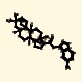 COC[C@]12CC[C@@](C)(O)C[C@@H]1CC[C@H]1[C@@H]3CC[C@H](C(=O)Cn4nnc5ccc(C)cc54)[C@@]3(C)CC[C@@H]12